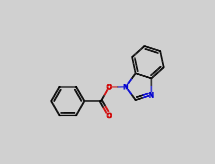 O=C(On1cnc2ccccc21)c1ccccc1